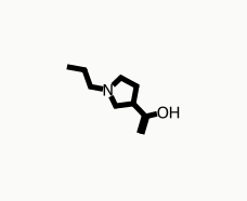 C=C(O)C1CCN(CCC)C1